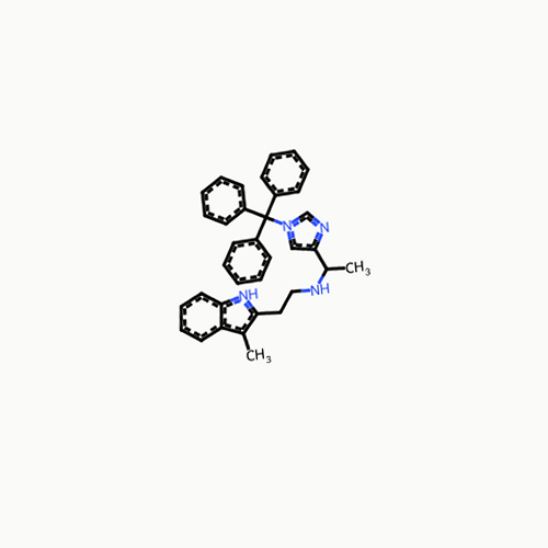 Cc1c(CCNC(C)c2cn(C(c3ccccc3)(c3ccccc3)c3ccccc3)cn2)[nH]c2ccccc12